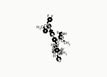 CCOc1nc2[nH]cc(F)c2cc1Oc1cc(N2CCC3(CC2)CC(N2CCN(Cc4ccc(F)c(F)c4)C[C@H]2c2ccccc2C(C)C)C3)ccc1C(=O)NS(=O)(=O)c1cc([NH+](C)[O-])c(NCC2CCOCC2)c2[nH]cnc12